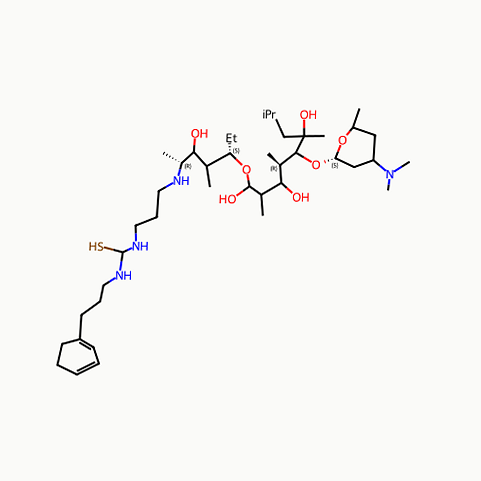 CC[C@H](OC(O)C(C)C(O)[C@@H](C)C(O[C@H]1CC(N(C)C)CC(C)O1)C(C)(O)CC(C)C)C(C)C(O)[C@@H](C)NCCCNC(S)NCCCC1=CC=CCC1